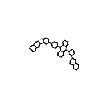 c1cc(-c2ccc3ccccc3c2)cc(-c2c3ccccc3c(-c3ccc(-c4ccc5oc6cc7ccccc7cc6c5c4)cc3)c3ccccc23)c1